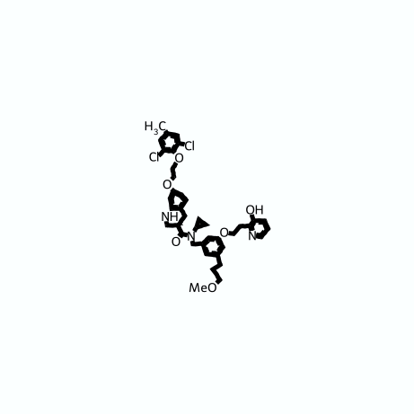 COCCCc1cc(CN(C(=O)C(CN)Cc2ccc(OCCOc3c(Cl)cc(C)cc3Cl)cc2)C2CC2)cc(OCCc2ncccc2O)c1